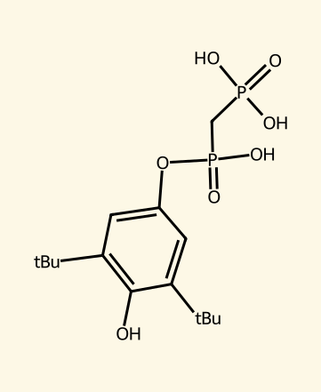 CC(C)(C)c1cc(OP(=O)(O)CP(=O)(O)O)cc(C(C)(C)C)c1O